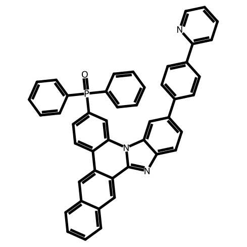 O=P(c1ccccc1)(c1ccccc1)c1ccc2c3cc4ccccc4cc3c3nc4ccc(-c5ccc(-c6ccccn6)cc5)cc4n3c2c1